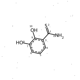 NC(=S)c1cccc(O)c1O